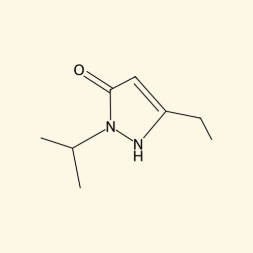 CCc1cc(=O)n(C(C)C)[nH]1